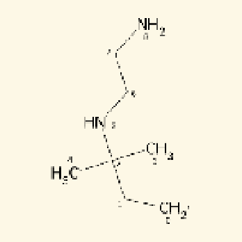 [CH2]CC(C)(C)NCCN